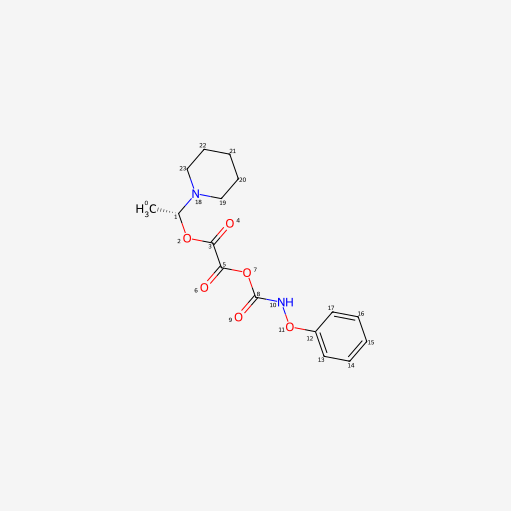 C[C@@H](OC(=O)C(=O)OC(=O)NOc1ccccc1)N1CCCCC1